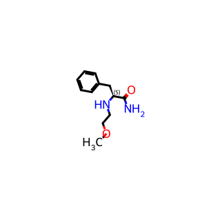 COCCN[C@@H](Cc1ccccc1)C(N)=O